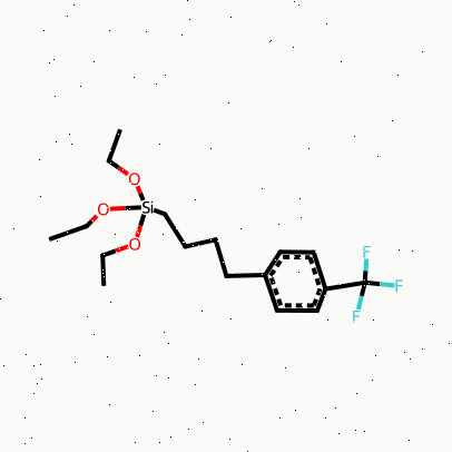 CCO[Si](CCCCc1ccc(C(F)(F)F)cc1)(OCC)OCC